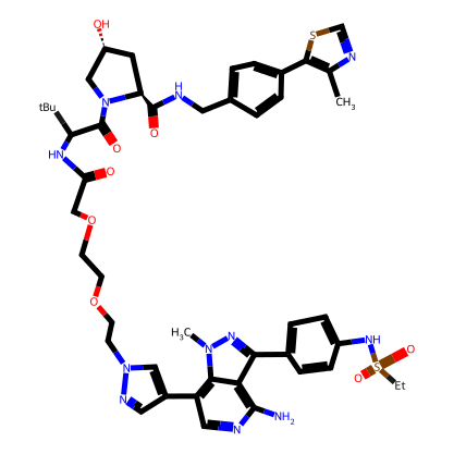 CCS(=O)(=O)Nc1ccc(-c2nn(C)c3c(-c4cnn(CCOCCOCC(=O)NC(C(=O)N5C[C@H](O)C[C@H]5C(=O)NCc5ccc(-c6scnc6C)cc5)C(C)(C)C)c4)cnc(N)c23)cc1